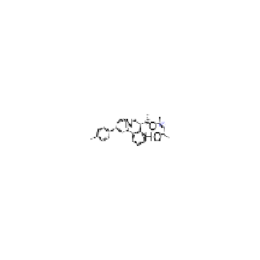 C/C(=C/C(C)O)O[C@@H](C)C1CN2C=CC(c3ccc(C)cc3)=CC2c2ccccc21